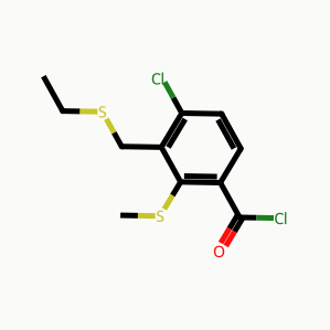 CCSCc1c(Cl)ccc(C(=O)Cl)c1SC